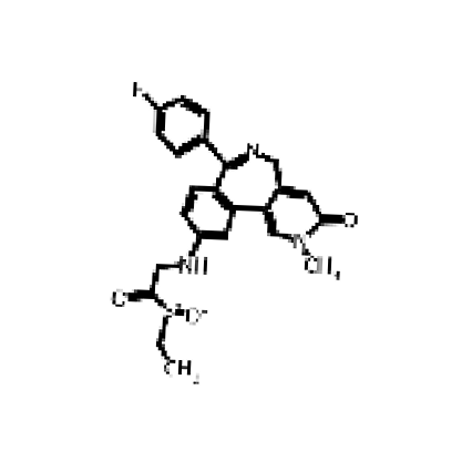 CC[S+]([O-])C(=O)CNc1ccc2c(c1)-c1cn(C)c(=O)cc1CN=C2c1ccc(F)cc1